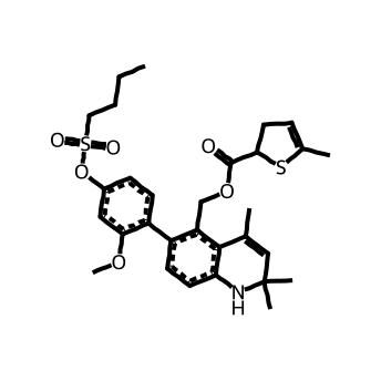 CCCCS(=O)(=O)Oc1ccc(-c2ccc3c(c2COC(=O)C2CC=C(C)S2)C(C)=CC(C)(C)N3)c(OC)c1